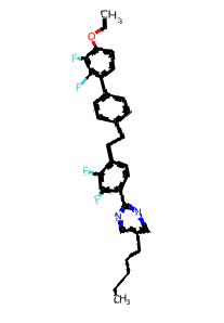 CCCCCc1cnc(-c2ccc(CCc3ccc(-c4ccc(OCC)c(F)c4F)cc3)c(F)c2F)nc1